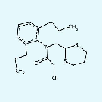 CCCc1cccc(CCC)c1N(CC1SCCCS1)C(=O)CCl